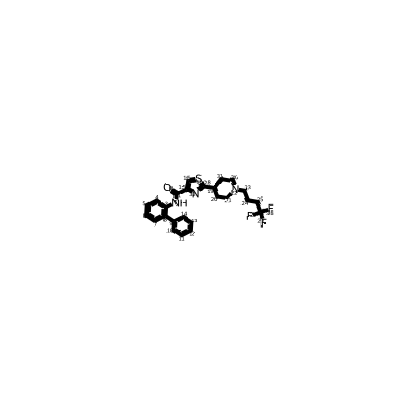 O=C(Nc1ccccc1-c1ccccc1)c1csc(C2CCN(CCCC(F)(F)F)CC2)n1